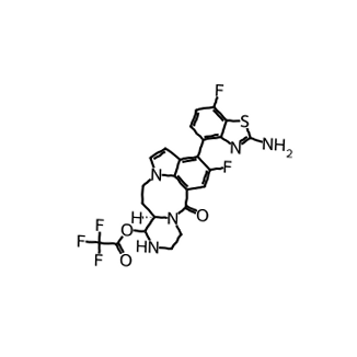 Nc1nc2c(-c3c(F)cc4c5c3ccn5CC[C@@H]3C(OC(=O)C(F)(F)F)NCCN3C4=O)ccc(F)c2s1